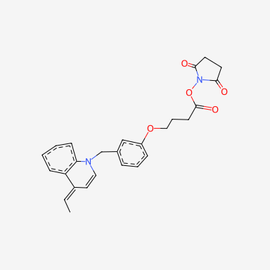 CC=C1C=CN(Cc2cccc(OCCCC(=O)ON3C(=O)CCC3=O)c2)c2ccccc21